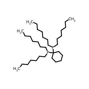 CCCCCCCP(CCCCCCC)C1(P(CCCCCCC)CCCCCCC)CCCCC1